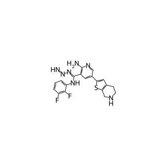 N=N/N=C(\Nc1cccc(F)c1F)c1cc(-c2cc3c(s2)CNCC3)cnc1N